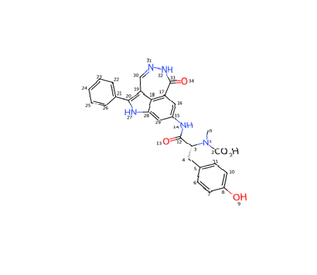 CN(C(=O)O)[C@H](Cc1ccc(O)cc1)C(=O)Nc1cc2c3c(c(-c4ccccc4)[nH]c3c1)C=NNC2=O